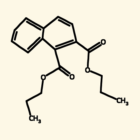 CCCOC(=O)c1ccc2ccccc2c1C(=O)OCCC